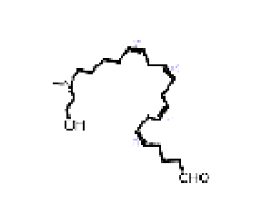 CN(CCO)CCCC/C=C\C/C=C\C/C=C\C/C=C\CCCC=O